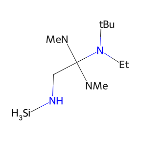 CCN(C(C)(C)C)C(CN[SiH3])(NC)NC